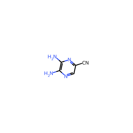 N#Cc1cnc(N)c(N)n1